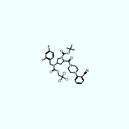 CC(C)(C)OC(=O)N1CC(N(Cc2ccc(F)cc2F)C(=O)OCC(Cl)(Cl)Cl)CC1C(=O)N1CCN(c2ccccc2C#N)CC1